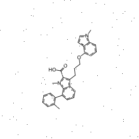 Cc1ccccc1-c1cccc2c(CCCOc3cccc4c3ccn4C)c(C(=O)O)n(C)c12